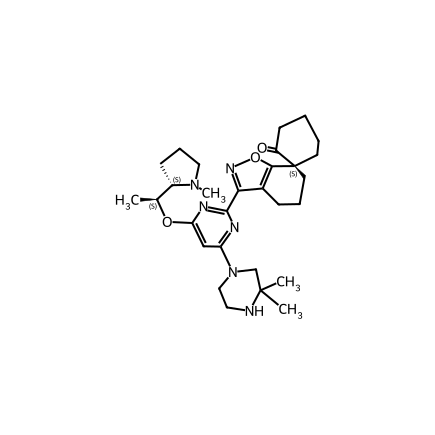 C[C@H](Oc1cc(N2CCNC(C)(C)C2)nc(-c2noc3c2CCC[C@@]32CCCCC2=O)n1)[C@@H]1CCCN1C